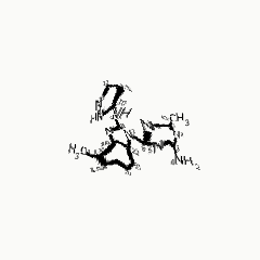 Cc1nc(N)nc(-n2c(Nc3ccn[nH]3)nc3c(C)cccc32)n1